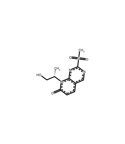 C[C@@H](CO)n1c(=O)ccc2cnc(S(C)(=O)=O)nc21